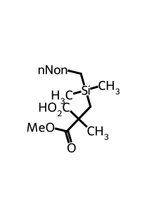 CCCCCCCCCC[Si](C)(C)CC(C)(C(=O)O)C(=O)OC